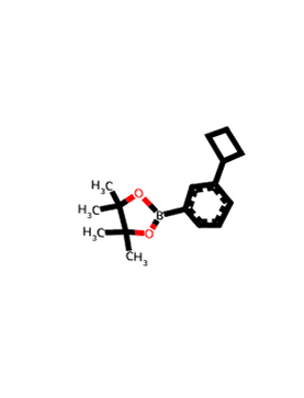 CC1(C)OB(c2cccc(C3CCC3)c2)OC1(C)C